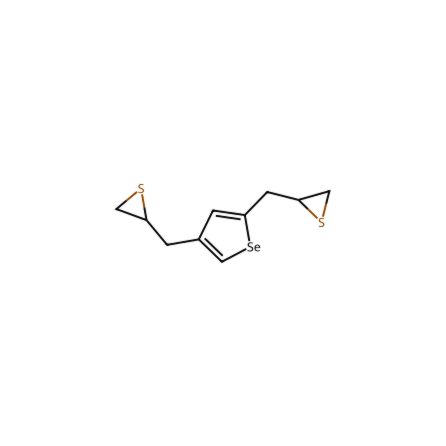 c1[se]c(CC2CS2)cc1CC1CS1